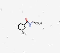 CC1CCCC(C(=O)NCC(=O)O)C1